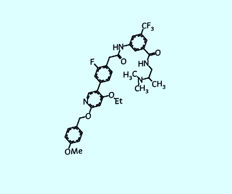 CCOc1cc(OCc2ccc(OC)cc2)ncc1-c1ccc(CC(=O)Nc2cc(C(=O)NCC(C)N(C)C)cc(C(F)(F)F)c2)c(F)c1